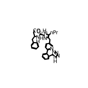 CCCc1nc(C(=O)NC(CC(=O)O)Cc2ccccc2)[nH]c1Cc1ccc(-c2ccccc2-c2nnn[nH]2)nc1